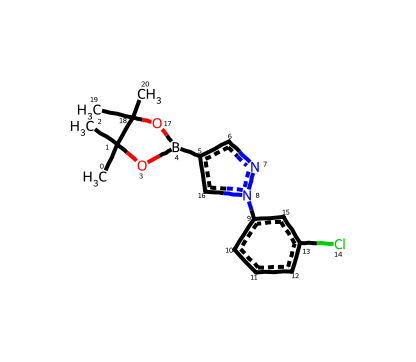 CC1(C)OB(c2cnn(-c3cccc(Cl)c3)c2)OC1(C)C